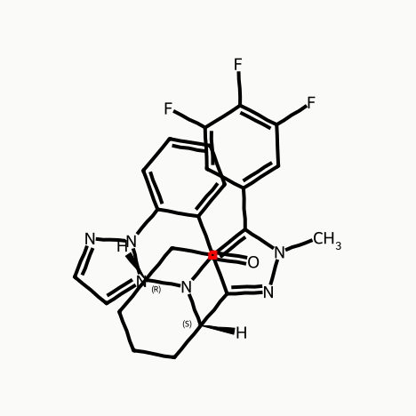 Cn1nc2c(c1-c1cc(F)c(F)c(F)c1)C[C@H]1CCC[C@@H]2N1C(=O)c1ccccc1-n1nccn1